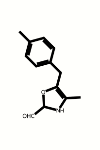 CC1=C(Cc2ccc(C)cc2)OC(C=O)N1